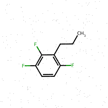 C[CH]Cc1c(F)ccc(F)c1F